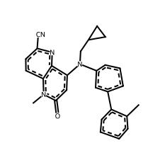 Cc1ccccc1-c1cccc(N(CC2CC2)c2cc(=O)n(C)c3ccc(C#N)nc23)c1